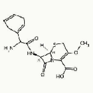 COC1=C(C(=O)O)N2C(=O)[C@@H](NC(=O)C(N)C3=CCC=CC3)[C@H]2SC1